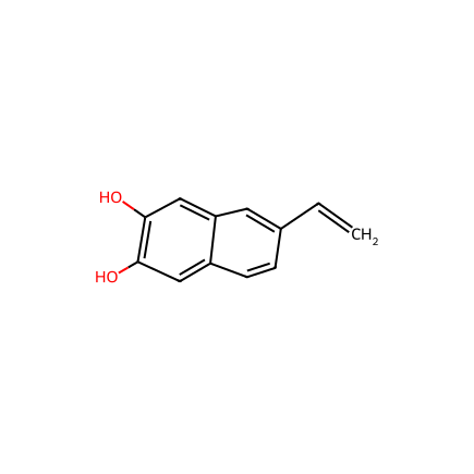 C=Cc1ccc2cc(O)c(O)cc2c1